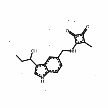 CCC(O)c1c[nH]c2ccc(CNc3c(C)c(=O)c3=O)cc12